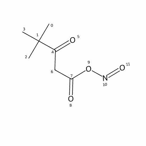 CC(C)(C)C(=O)CC(=O)ON=O